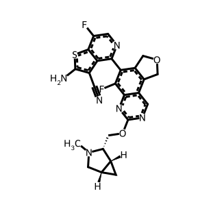 CN1C[C@H]2C[C@H]2[C@H]1COc1ncc2c3c(c(-c4ncc(F)c5sc(N)c(C#N)c45)c(F)c2n1)COC3